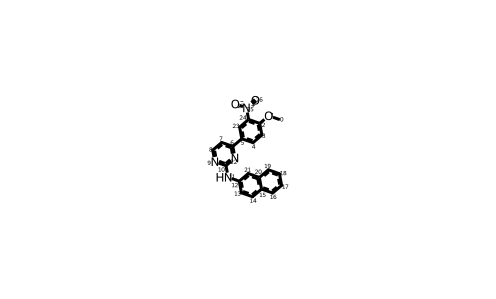 COc1ccc(-c2ccnc(Nc3ccc4ccccc4c3)n2)cc1[N+](=O)[O-]